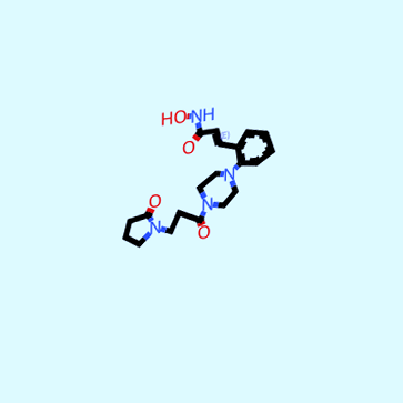 O=C(/C=C/c1ccccc1N1CCN(C(=O)CCN2CCCC2=O)CC1)NO